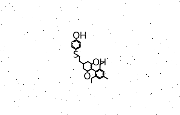 CCc1cc(C)cc(CC)c1C1=C(O)CC(CCSc2ccc(O)cc2)CC1=O